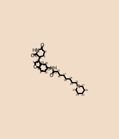 O=C1CCC(c2coc3ccc(NC(=O)CCCCCCCN4CCCCC4)cc23)C(=O)N1